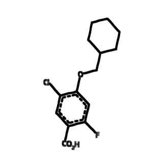 O=C(O)c1cc(Cl)c(OCC2CCCCC2)cc1F